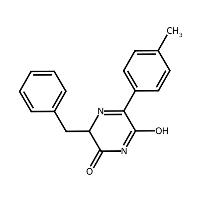 Cc1ccc(C2=NC(Cc3ccccc3)C(=O)N=C2O)cc1